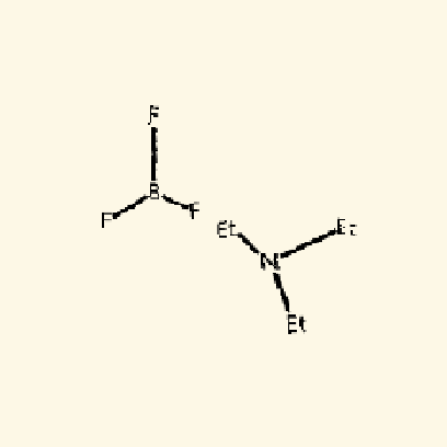 CCN(CC)CC.FB(F)F